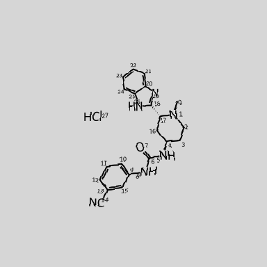 CN1CC[C@@H](NC(=O)Nc2cccc(C#N)c2)C[C@@H]1c1nc2ccccc2[nH]1.Cl